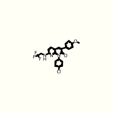 COc1ccc(-c2cc3ccc(NCC(F)(F)F)nc3n(-c3ccc(Cl)cc3)c2=O)cc1